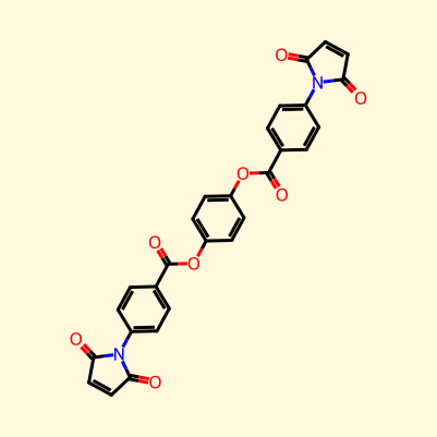 O=C(Oc1ccc(OC(=O)c2ccc(N3C(=O)C=CC3=O)cc2)cc1)c1ccc(N2C(=O)C=CC2=O)cc1